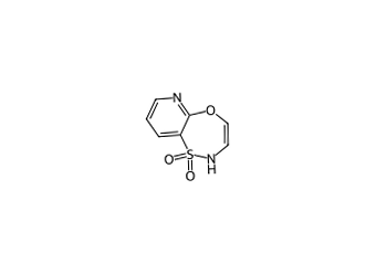 O=S1(=O)NC=COc2ncccc21